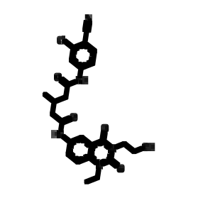 CCn1c(=O)n(CCO)c(=O)c2cc(NC(=O)CC(C)CC(=O)Nc3ccc(C#N)c(Cl)c3)ccc21